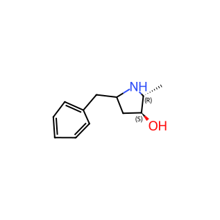 C[C@H]1NC(Cc2ccccc2)C[C@@H]1O